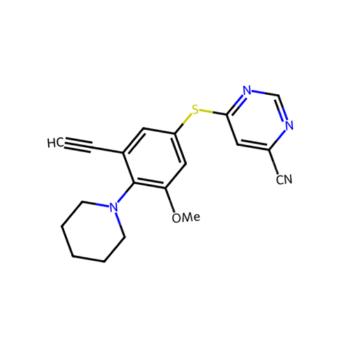 C#Cc1cc(Sc2cc(C#N)ncn2)cc(OC)c1N1CCCCC1